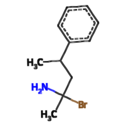 CC(CC(C)(N)Br)c1ccccc1